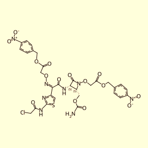 NC(=O)OC[C@@H]1[C@H](NC(=O)C(=NOCC(=O)OCc2ccc([N+](=O)[O-])cc2)c2csc(NC(=O)CCl)n2)C(=O)N1OCC(=O)OCc1ccc([N+](=O)[O-])cc1